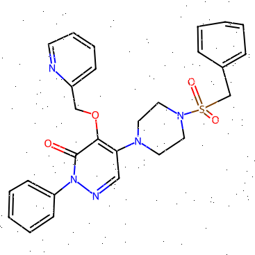 O=c1c(OCc2ccccn2)c(N2CCN(S(=O)(=O)Cc3ccccc3)CC2)cnn1-c1ccccc1